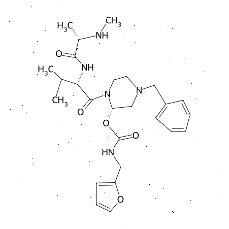 CN[C@@H](C)C(=O)N[C@H](C(=O)N1CCN(Cc2ccccc2)C[C@@H]1OC(=O)NCc1ccco1)C(C)C